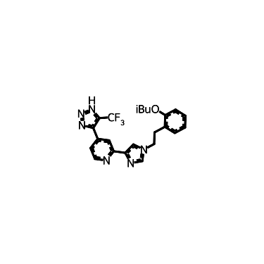 CC(C)COc1ccccc1CCn1cnc(-c2cc(-c3nn[nH]c3C(F)(F)F)ccn2)c1